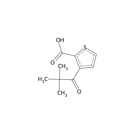 CC(C)(C)C(=O)c1ccsc1C(=O)O